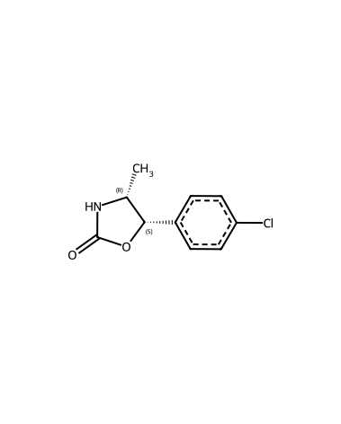 C[C@H]1NC(=O)O[C@H]1c1ccc(Cl)cc1